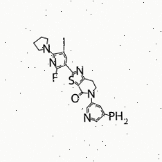 O=C1c2sc(-c3cc(I)c(N4CCCC4)nc3F)nc2CCN1c1cncc(P)c1